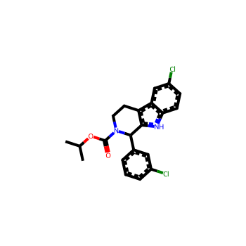 CC(C)OC(=O)N1CCc2c([nH]c3ccc(Cl)cc23)C1c1cccc(Cl)c1